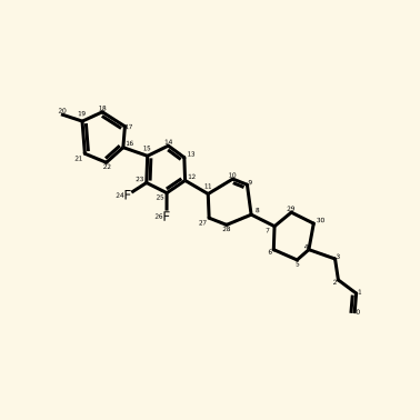 C=CCCC1CCC(C2C=CC(c3ccc(-c4ccc(C)cc4)c(F)c3F)CC2)CC1